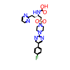 O=C(O)N[C@@H](CCc1ncccn1)CS(=O)(=O)N1CCN(c2ncc(-c3ccc(F)cc3)cn2)CC1